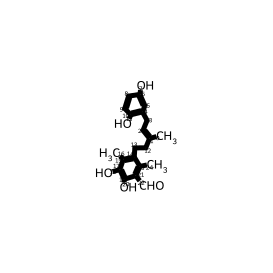 C/C(=C\Cc1cc(O)ccc1O)CCc1c(C)c(O)c(O)c(C=O)c1C